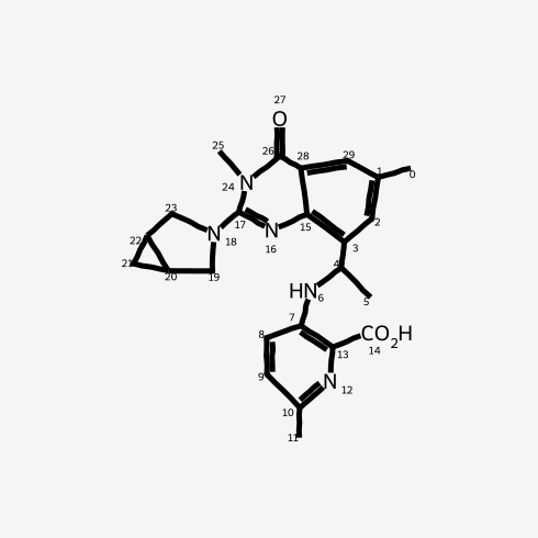 Cc1cc(C(C)Nc2ccc(C)nc2C(=O)O)c2nc(N3CC4CC4C3)n(C)c(=O)c2c1